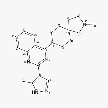 Cc1[nH]ncc1-c1nc(N2CCC3(CCN(C)C3)CC2)c2ccncc2n1